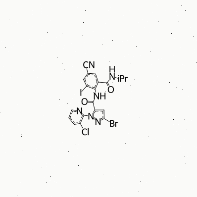 CC(C)NC(=O)c1cc(C#N)cc(I)c1NC(=O)c1cc(Br)nn1-c1ncccc1Cl